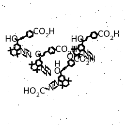 CC1(C)CCC(C)(C)c2c(N3CCN(CCC(=O)O)CC3)cc(C(O)C#Cc3ccc(C(=O)O)c(O)c3)cc21.CN1CCN(c2cc(C(=O)C=Cc3ccc(C(=O)O)cc3)cc3c2C(C)(C)CCC3(C)C)CC1.CN1CCN(c2cc(C(O)C#Cc3ccc(C(=O)O)cc3)cc3c2C(C)(C)CCC3(C)C)CC1.CN1CCN(c2cc(C(O)C=Cc3ccc(C(=O)O)cc3)cc3c2C(C)(C)CCC3(C)C)CC1